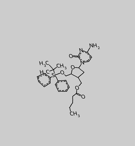 CCCCC(=O)OCC1CC(n2ccc(N)nc2=O)OC1CO[Si](c1ccccc1)(c1ccccc1)C(C)(C)C